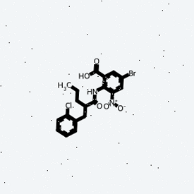 CCCC(Cc1ccccc1Cl)C(=O)Nc1c(C(=O)O)cc(Br)cc1[N+](=O)[O-]